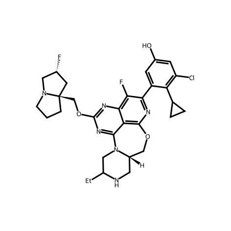 CCC1CN2c3nc(OC[C@@]45CCCN4C[C@H](F)C5)nc4c(F)c(-c5cc(O)cc(Cl)c5C5CC5)nc(c34)OC[C@@H]2CN1